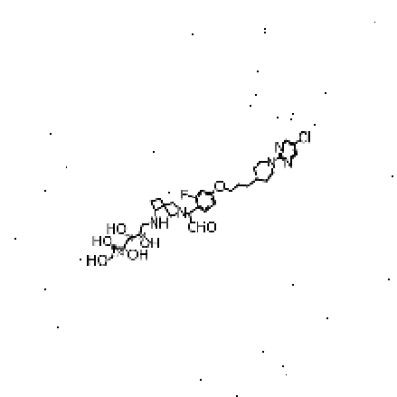 O=CC(c1ccc(OCCCC2CCN(c3ncc(Cl)cn3)CC2)cc1F)N1CC2(CCC2NC[C@H](O)[C@@H](O)[C@H](O)[C@H](O)CO)C1